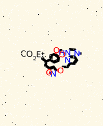 CCOC(=O)CC(Cc1cc(OCCc2ccc3c(n2)NCCN3C)no1)c1ccc2c(c1)OCO2